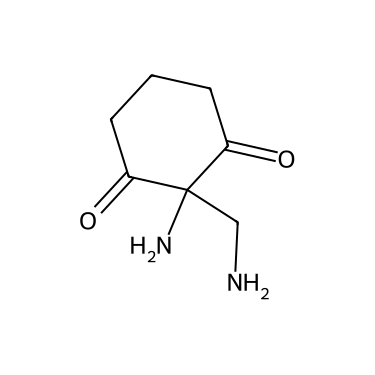 NCC1(N)C(=O)CCCC1=O